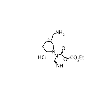 CCOC(=O)OC(=O)N(C=N)N1CCC[C@@H](CN)C1.Cl